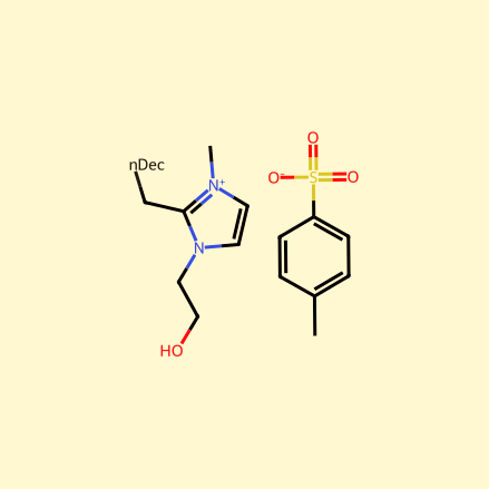 CCCCCCCCCCCc1n(CCO)cc[n+]1C.Cc1ccc(S(=O)(=O)[O-])cc1